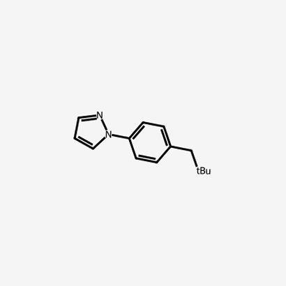 CC(C)(C)Cc1ccc(-n2cccn2)cc1